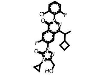 CC(c1nn(-c2c(F)cccc2Cl)c(=O)c2cc(F)c(-n3nc(CO)n(C4CC4)c3=O)cc12)C1CCC1